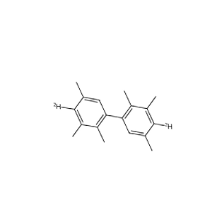 [2H]c1c(C)cc(-c2cc(C)c([2H])c(C)c2C)c(C)c1C